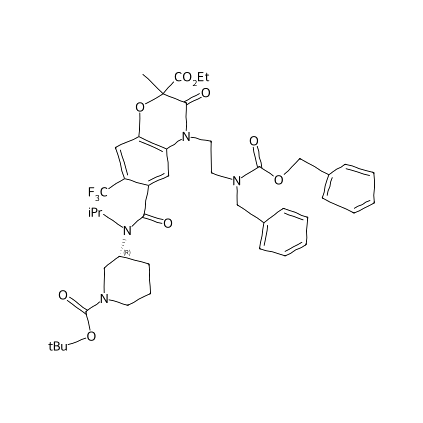 CCOC(=O)C1(C)Oc2cc(C(F)(F)F)c(C(=O)N(C(C)C)[C@@H]3CCCN(C(=O)OC(C)(C)C)C3)cc2N(CCN(Cc2ccccc2)C(=O)OCc2ccccc2)C1=O